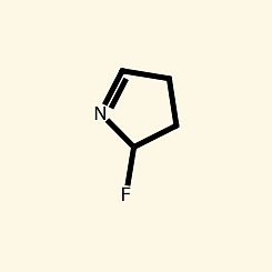 FC1CCC=N1